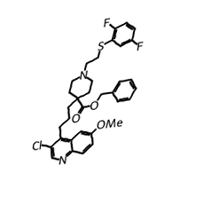 COc1ccc2ncc(Cl)c(CCCC3(C(=O)OCc4ccccc4)CCN(CCSc4cc(F)ccc4F)CC3)c2c1